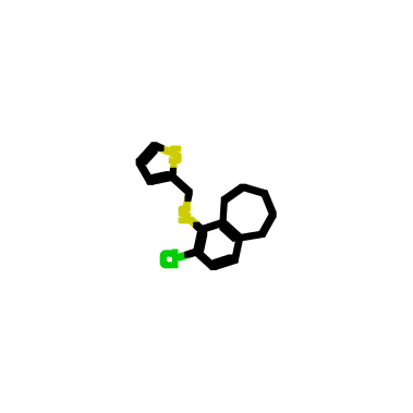 Clc1ccc2c(c1SCc1cccs1)CCCCC2